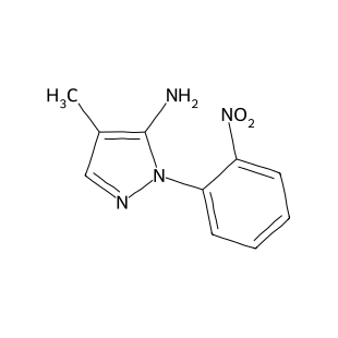 Cc1cnn(-c2ccccc2[N+](=O)[O-])c1N